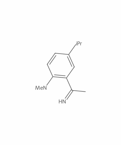 CNc1ccc(C(C)C)cc1C(C)=N